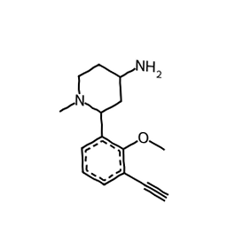 C#Cc1cccc(C2CC(N)CCN2C)c1OC